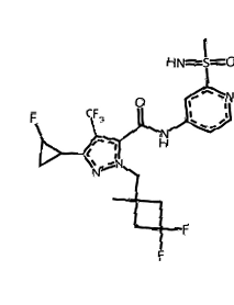 CC1(Cn2nc(C3CC3F)c(C(F)(F)F)c2C(=O)Nc2ccnc(S(C)(=N)=O)c2)CC(F)(F)C1